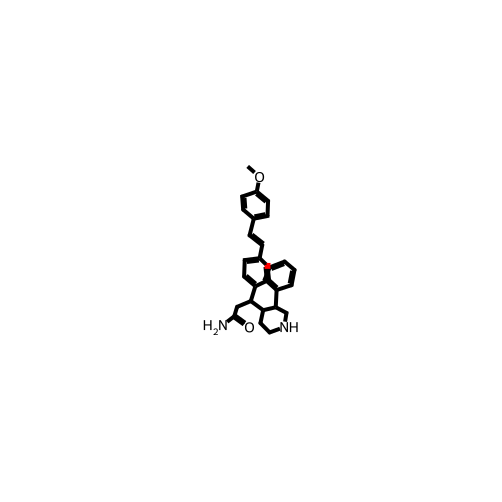 COc1ccc(C=Cc2ccc(C(CC(N)=O)C3CCNCC3c3ccccc3)cc2)cc1